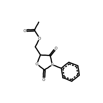 CC(=O)OCC1OC(=O)N(c2ccccc2)C1=O